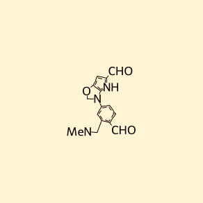 CNCc1cc(N2COc3cc(C=O)[nH]c32)ccc1C=O